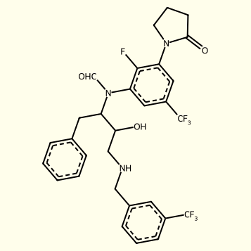 O=CN(c1cc(C(F)(F)F)cc(N2CCCC2=O)c1F)C(Cc1ccccc1)C(O)CNCc1cccc(C(F)(F)F)c1